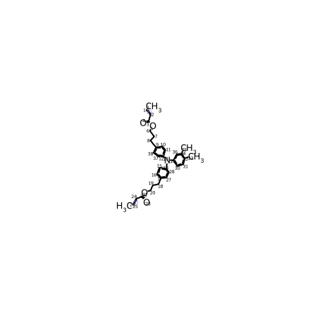 C/C=C/C(=O)OCCCc1ccc(N(c2ccc(CCCOC(=O)/C=C/C)cc2)c2ccc(C)c(C)c2)cc1